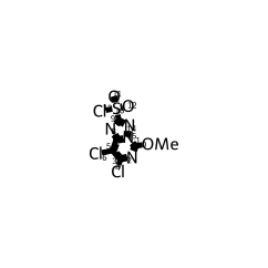 COc1nc(Cl)c(Cl)c2nc(S(=O)(=O)Cl)nn12